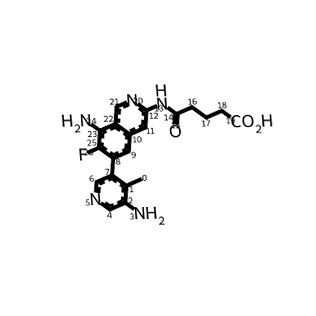 Cc1c(N)cncc1-c1cc2cc(NC(=O)CCCC(=O)O)ncc2c(N)c1F